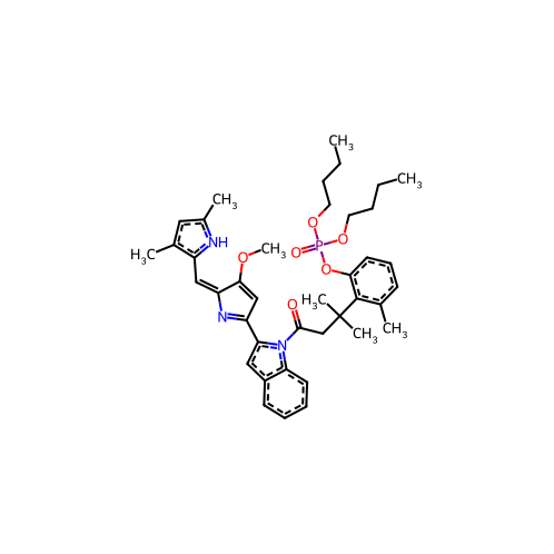 CCCCOP(=O)(OCCCC)Oc1cccc(C)c1C(C)(C)CC(=O)n1c(C2=N/C(=C/c3[nH]c(C)cc3C)C(OC)=C2)cc2ccccc21